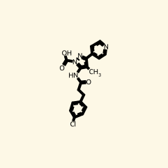 Cc1c(-c2ccncc2)nn(C(=O)O)c1NC(=O)CCc1ccc(Cl)cc1